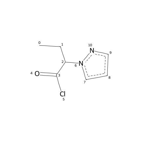 CCC(C(=O)Cl)n1cccn1